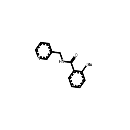 CC(C)(C)c1ccccc1C(=O)NCc1cccnc1